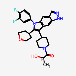 C[C@@H](O)C(=O)N1CCC(c2c(C3CCOCC3)n(-c3ccc(F)c(F)c3)c3cc4cn[nH]c4cc23)CC1